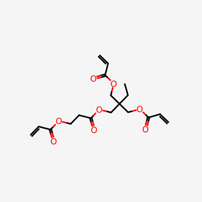 C=CC(=O)OCCC(=O)OCC(CC)(COC(=O)C=C)COC(=O)C=C